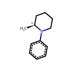 C[C@H]1CCCCN1c1cc[c]cc1